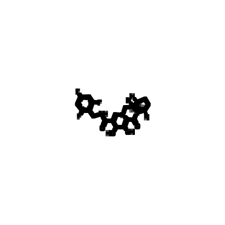 O=C(NCc1c(F)cc(F)cc1F)C1=CN2C[C@@H]3[C@@H]4CC[C@@H](C4)N3C(=O)C2=C(O)C1O